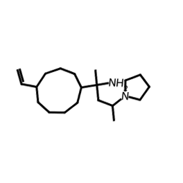 C=CC1CCCCC(C(C)(N)CC(C)N2CCCC2)CCC1